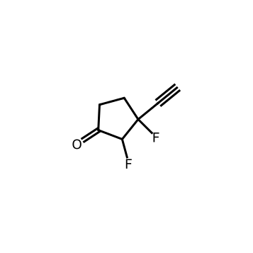 C#CC1(F)CCC(=O)C1F